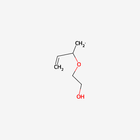 [CH2]C(C=C)OCCO